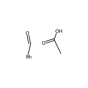 CC(=O)O.O=[CH][Rh]